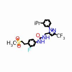 CC(C)c1cccc(-n2nc(C(F)(F)F)cc2CNC(=O)Nc2ccc(CCS(C)(=O)=O)c(F)c2)c1